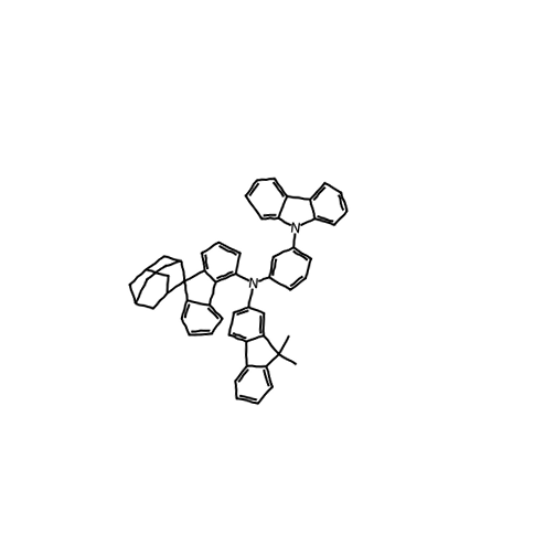 CC1(C)c2ccccc2-c2ccc(N(c3cccc(-n4c5ccccc5c5ccccc54)c3)c3cccc4c3-c3ccccc3C43C4CCC5CC(C4)CC3C5)cc21